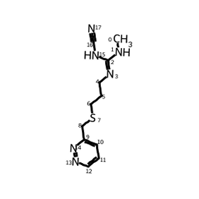 CN/C(=N/CCCSCc1cccnn1)NC#N